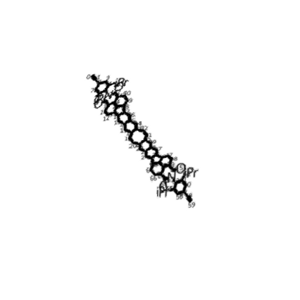 C#Cc1cc(C(C)C)c(-n2c(=O)c3ccc4c5cc6cc7ccc8cc9cc%10c(cc9cc8ccc7cc6cc5c5ccc(c2=O)c3c45)c2ccc3c(=O)n(-c4c(C(C)C)cc(C#C)cc4C(C)C)c(=O)c4ccc%10c2c43)c(C(C)C)c1